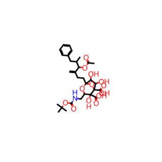 C=C(CCC12OC(CNC(=O)OC(C)(C)C)C(O)(C(=O)O)C(C(=O)O)(O1)C(O)C2O)C(OC(C)=O)C(C)Cc1ccccc1